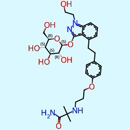 CC(C)(NCCCOc1ccc(CCc2cccc3c2c(O[C@@H]2O[C@H](CO)[C@@H](O)[C@H](O)[C@H]2O)nn3CCO)cc1)C(N)=O